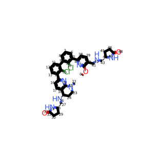 COc1nc(-c2cccc(-c3cccc(-c4ccc5c(n4)N(C)CC[C@@H]5NC[C@@H]4CCC(=O)N4)c3Cl)c2Cl)ccc1CNC[C@@H]1CCC(=O)N1